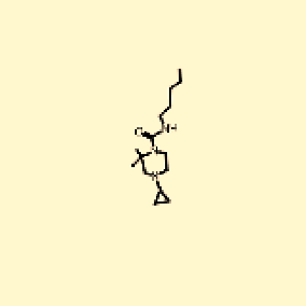 CCCCCNC(=O)N1CCN(C2CC2)CC1(C)C